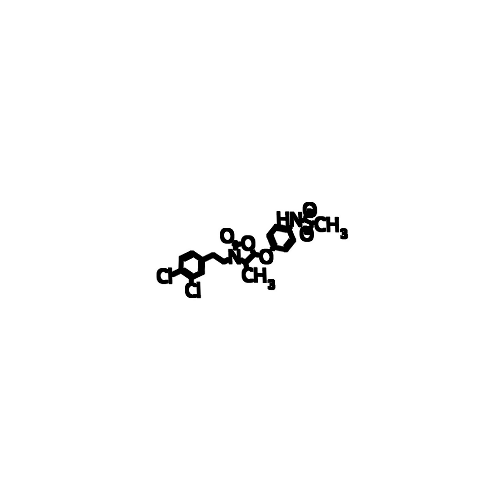 CC1C(Oc2ccc(NS(C)(=O)=O)cc2)OC(=O)N1CCc1ccc(Cl)c(Cl)c1